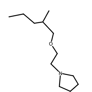 CCCC(C)COCCN1CCCC1